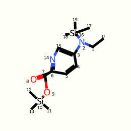 CCN(c1ccc(C(=O)O[Si](C)(C)C)nc1)[Si](C)(C)C